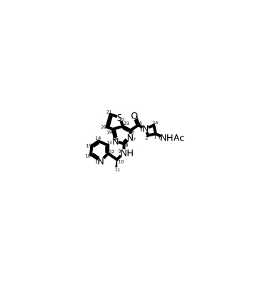 CC(=O)NC1CN(C(=O)c2nc(N[C@@H](C)c3ccccn3)nc3ccsc23)C1